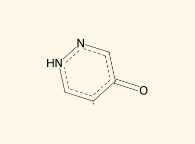 O=c1[c]c[nH]nc1